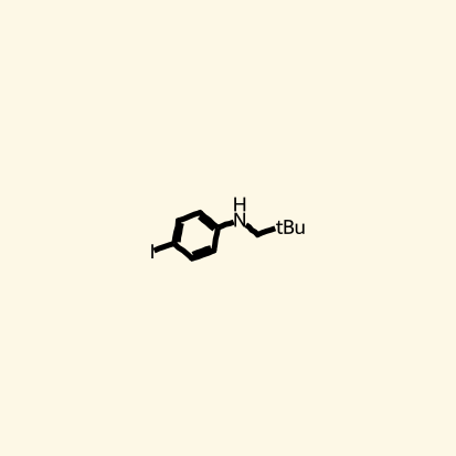 CC(C)(C)CNc1ccc(I)cc1